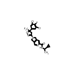 CC(NC(=O)c1cc2c(cn1)CN(C1=NOC(c3cc(Cl)c(F)c(Cl)c3)(C(F)(F)F)C1)C2)C1CC1